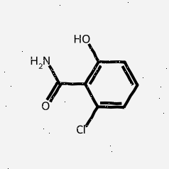 NC(=O)c1c(O)cccc1Cl